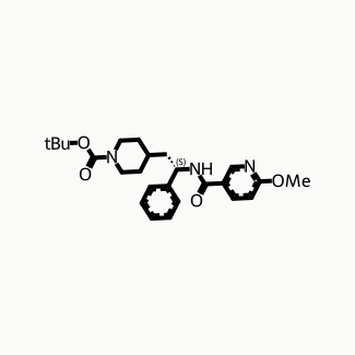 COc1ccc(C(=O)N[C@@H](CC2CCN(C(=O)OC(C)(C)C)CC2)c2ccccc2)cn1